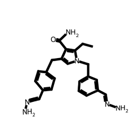 CCc1c(C(N)=O)c(Cc2ccc(C=NN)cc2)cn1Cc1cccc(C=NN)c1